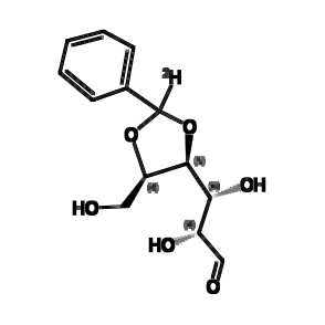 [2H]C1(c2ccccc2)O[C@@H]([C@H](O)[C@@H](O)C=O)[C@@H](CO)O1